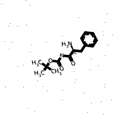 CC(C)(C)OC(=O)[N]C(=O)[C@@H](N)Cc1ccccc1